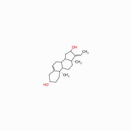 C/C=C1\C(O)CC2C3CC=C4C[C@@H](O)CC[C@]4(C)C3CC[C@]12C